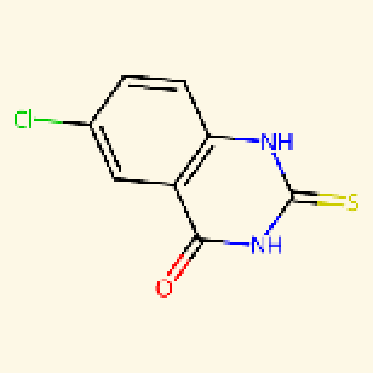 O=c1[nH]c(=S)[nH]c2ccc(Cl)cc12